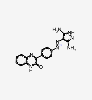 Nc1n[nH]c(N)c1/N=N/c1ccc(-c2nc3ccccc3[nH]c2=O)cc1